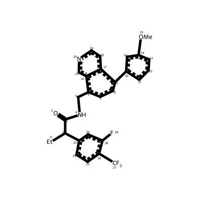 CCC(C(=O)NCc1ccc(-c2cccc(OC)c2)c2ccncc12)c1ccc(C(F)(F)F)c(F)c1